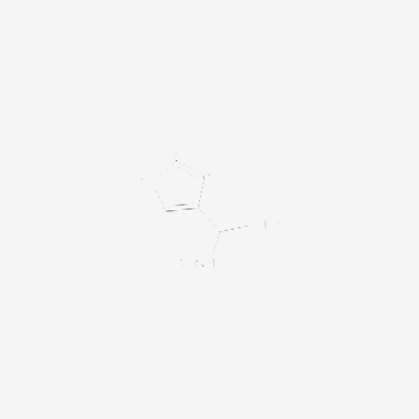 CC(=O)NC(C=O)c1ccsc1